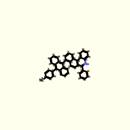 N#Cc1ccc(-c2c3ccccc3c(-c3cccc4c3ccc3c(-c5ccccc5)nc5ccccc5c34)c3ccccc23)cc1